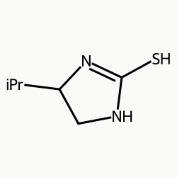 CC(C)C1CNC(S)=N1